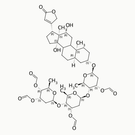 C[C@H]1O[C@@H](O[C@H]2[C@@H](OC=O)C[C@H](O[C@H]3[C@@H](OC=O)C[C@H](O[C@H]4CC[C@]5(C)C6C[C@@H](O)[C@]7(C)[C@@H](C8=CC(=O)OC8)CC[C@]7(O)C6CC[C@@H]5C4)O[C@@H]3C)O[C@@H]2C)C[C@H](OC=O)[C@@H]1OC=O